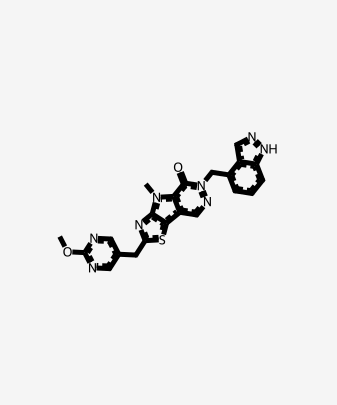 COc1ncc(Cc2nc3c(s2)c2cnn(Cc4cccc5[nH]ncc45)c(=O)c2n3C)cn1